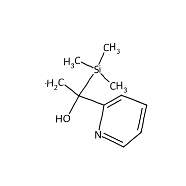 [CH2]C(O)(c1ccccn1)[Si](C)(C)C